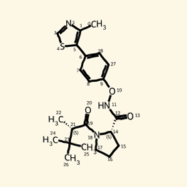 Cc1ncsc1-c1ccc(ONC(=O)[C@@H]2CCCN2C(=O)[C@@H](C)C(C)(C)C)cc1